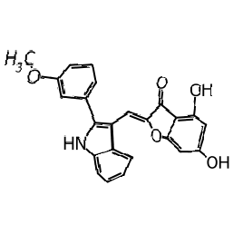 COc1cccc(-c2[nH]c3ccccc3c2C=C2Oc3cc(O)cc(O)c3C2=O)c1